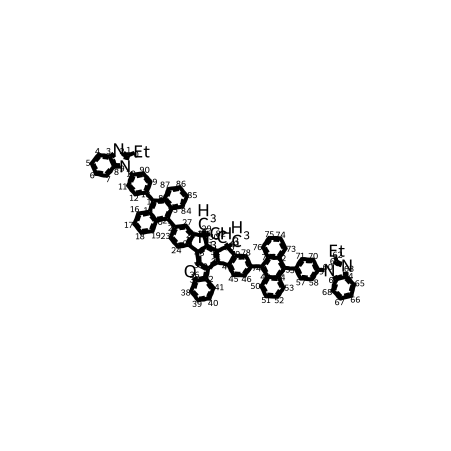 CCc1nc2ccccc2n1-c1ccc(-c2c3ccccc3c(-c3ccc4c(c3)C(C)(C)c3c5c(c6c(oc7ccccc76)c3-4)-c3ccc(-c4c6ccccc6c(-c6ccc(-n7c(CC)nc8ccccc87)cc6)c6ccccc46)cc3C5(C)C)c3ccccc23)cc1